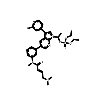 CCOP(=O)(OCC)OC(C)n1cc(-c2ccnc(F)c2)c2cc(-c3cccc(N(C)C(=O)C=CCN(C)C)c3)cnc21